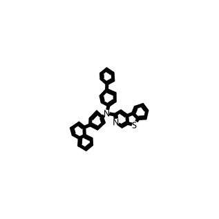 c1ccc(-c2ccc(N(c3ccc(-c4cccc5ccccc45)cc3)c3cc4c(cn3)sc3ccccc34)cc2)cc1